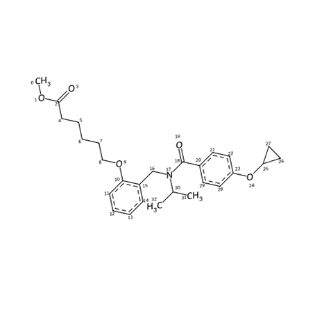 COC(=O)CCCCCOc1ccccc1CN(C(=O)c1ccc(OC2CC2)cc1)C(C)C